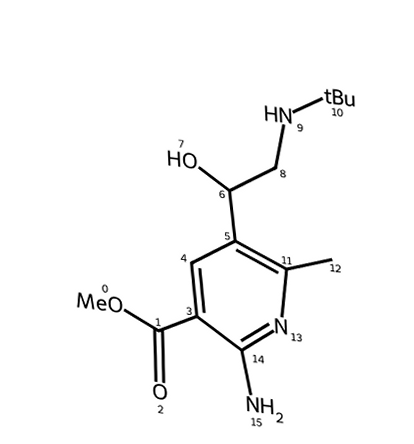 COC(=O)c1cc(C(O)CNC(C)(C)C)c(C)nc1N